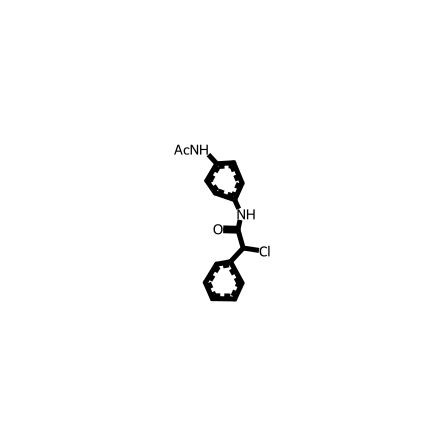 CC(=O)Nc1ccc(NC(=O)C(Cl)c2ccccc2)cc1